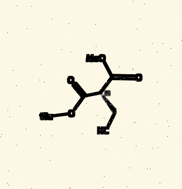 COC(=O)[C@H](CC#N)C(=O)OC(C)(C)C